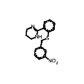 O=[N+]([O-])c1cccc(CSc2ccccc2C2=NCCCN2)c1